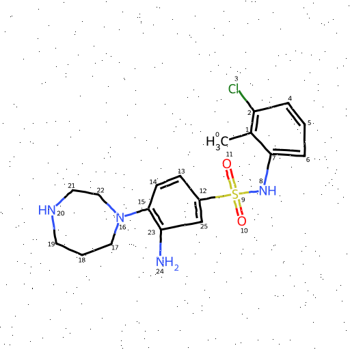 Cc1c(Cl)cccc1NS(=O)(=O)c1ccc(N2CCCNCC2)c(N)c1